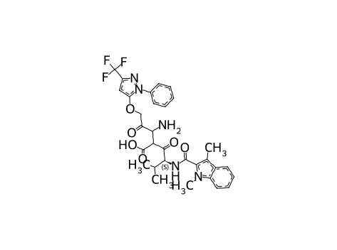 Cc1c(C(=O)N[C@H](C(=O)C(C(=O)O)C(N)C(=O)COc2cc(C(F)(F)F)nn2-c2ccccc2)C(C)C)n(C)c2ccccc12